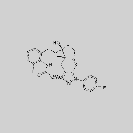 COC(=O)Nc1c(F)cccc1CC[C@]1(O)CCC2=Cc3c(cnn3-c3ccc(F)cc3)C[C@@]21C